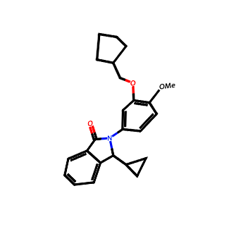 COc1ccc(N2C(=O)c3ccccc3C2C2CC2)cc1OCC1CCCC1